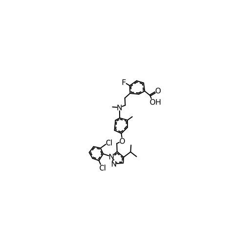 Cc1cc(OCc2c(C(C)C)cnn2-c2c(Cl)cccc2Cl)ccc1N(C)CCc1cc(C(=O)O)ccc1F